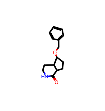 O=C1NCCC2C(OCc3ccccc3)CCC12